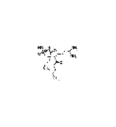 CCCCC(=O)N(CCCC(N)N)[C@@](CCC)(CS(=O)(=O)O)C(=O)O